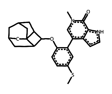 CSc1ccc(OC2C3CC4CC5CC2C3(C4)C5)c(-c2cn(C)c(=O)c3[nH]ccc23)c1